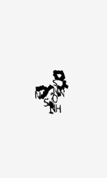 CNC(=S)OC[N+]1(Cc2ccncc2)C=NC(C(C)C)=C1Sc1ccccc1